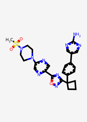 CS(=O)(=O)N1CCN(c2cnc(-c3nc(C4(c5ccc(-c6cnc(N)nc6)cc5)CCC4)no3)cn2)CC1